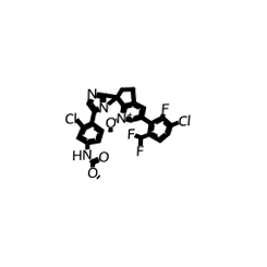 COC(=O)Nc1ccc(-c2cnc3n2C32CCc3cc(-c4c(C(F)F)ccc(Cl)c4F)c[n+](OC)c32)c(Cl)c1